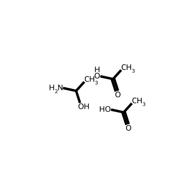 CC(=O)O.CC(=O)O.CC(N)O